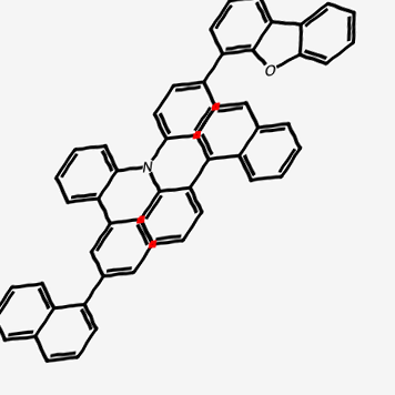 c1cc(-c2ccccc2N(c2ccc(-c3cccc4c3oc3ccccc34)cc2)c2ccccc2-c2cccc3ccccc23)cc(-c2cccc3ccccc23)c1